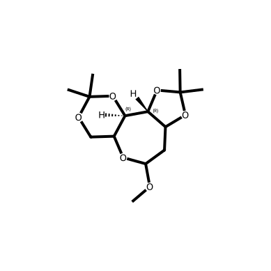 COC1CC2OC(C)(C)O[C@H]2[C@@H]2OC(C)(C)OCC2O1